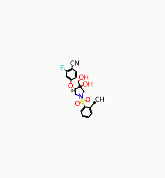 C#Cc1ccccc1S(=O)(=O)N1C[C@H](Oc2ccc(C#N)c(F)c2)[C@](O)(CO)C1